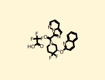 O=C(O)C(F)(F)F.O=C(c1ncc2cccnn12)N1CCC(F)(F)[C@@H](Oc2ccc3ccccc3n2)C1